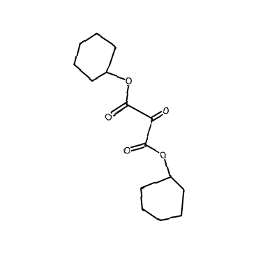 O=C(OC1CCCCC1)C(=O)C(=O)OC1CCCCC1